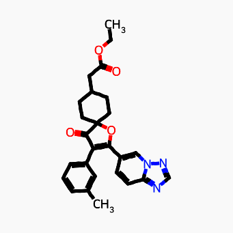 CCOC(=O)CC1CCC2(CC1)OC(c1ccc3ncnn3c1)=C(c1cccc(C)c1)C2=O